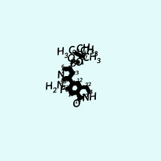 CC1(C)OB(c2cnc(N)c(-c3cc4c(cc3F)C(=O)NCC4)c2)OC1(C)C